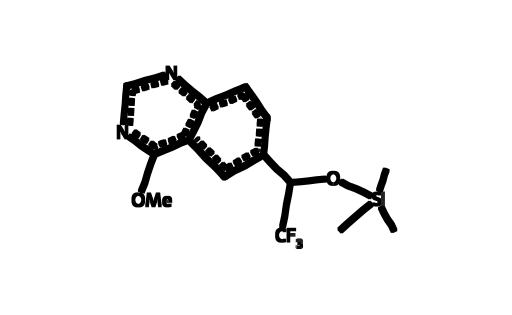 COc1ncnc2ccc(C(O[Si](C)(C)C)C(F)(F)F)cc12